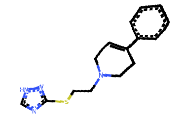 C1=C(c2ccccc2)CCN(CCSc2nc[nH]n2)C1